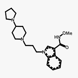 CONC(=O)c1cn(CCCN2CCC(N3CCCC3)CC2)c2ccccc12